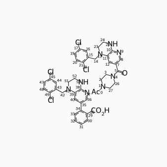 CC(=O)N1CCN(C(=O)c2cnc3c(c2)N(Cc2cc(Cl)ccc2Cl)CCN3)CC1.O=C(O)c1ccccc1-c1cnc2c(c1)N(Cc1cc(Cl)ccc1Cl)CCN2